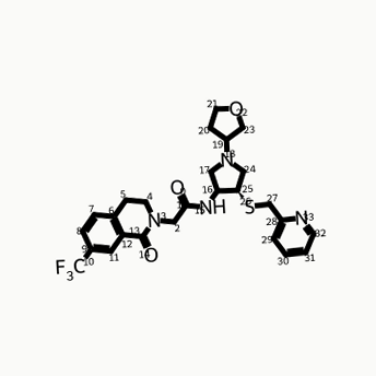 O=C(CN1CCc2ccc(C(F)(F)F)cc2C1=O)NC1CN(C2CCOC2)C[C@@H]1SCc1ccccn1